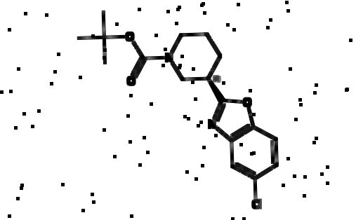 CC(C)(C)OC(=O)N1CCC[C@@H](c2nc3cc(Cl)ccc3o2)C1